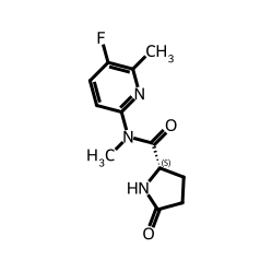 Cc1nc(N(C)C(=O)[C@@H]2CCC(=O)N2)ccc1F